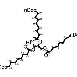 CCCCCCCCCCCCCCCCCC(=O)OCC(OC(=O)CCCCCCCCCCCCCCCCC)C(O)OC(=O)CCCCCCCCCCCCCCCCC